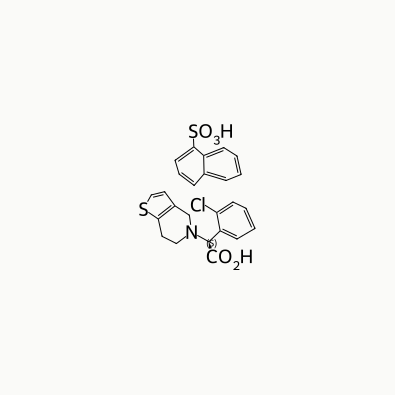 O=C(O)[C@H](c1ccccc1Cl)N1CCc2sccc2C1.O=S(=O)(O)c1cccc2ccccc12